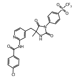 CC1(Cc2ccnc(NC(=O)c3ccc(Cl)cc3)c2)NC(=O)N(c2ccc(S(=O)(=O)C(F)(F)F)cc2)C1=O